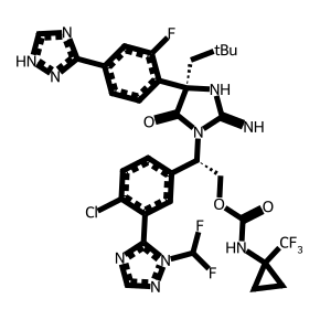 CC(C)(C)C[C@]1(c2ccc(-c3nc[nH]n3)cc2F)NC(=N)N([C@H](COC(=O)NC2(C(F)(F)F)CC2)c2ccc(Cl)c(-c3ncnn3C(F)F)c2)C1=O